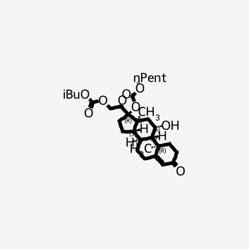 CCCCCOC(=O)O[C@]1(C(=O)COC(=O)OCC(C)C)CC[C@H]2[C@@H]3CCC4=CC(=O)CC[C@]4(C)[C@H]3[C@@H](O)C[C@@]21C